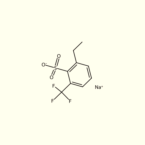 CCc1cccc(C(F)(F)F)c1S(=O)(=O)[O-].[Na+]